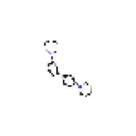 [c]1ccc(N2CCCCC2)cc1-c1ccc(N2CCCCC2)cc1